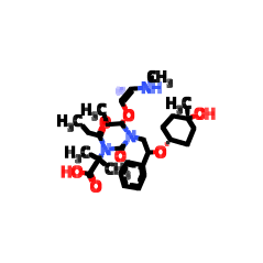 CCC(=O)N(C(=O)N(CC(O[C@H]1CC[C@@](C)(O)CC1)c1ccccc1)C(CC)O/C=C\NC)C(C)(C)C(=O)O